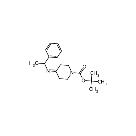 CC(N=C1CCN(C(=O)OC(C)(C)C)CC1)c1ccccc1